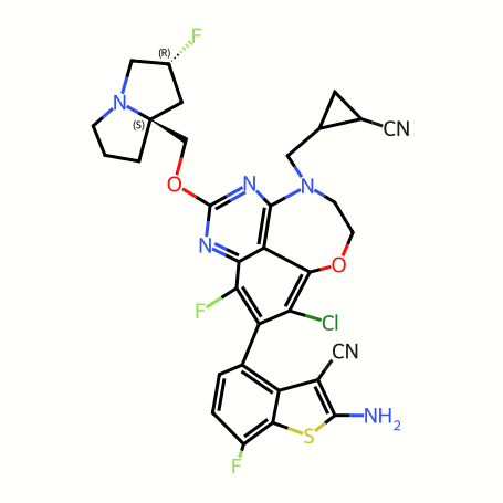 N#Cc1c(N)sc2c(F)ccc(-c3c(Cl)c4c5c(nc(OC[C@@]67CCCN6C[C@H](F)C7)nc5c3F)N(CC3CC3C#N)CCO4)c12